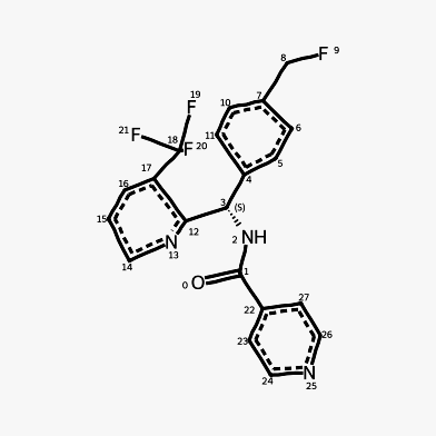 O=C(N[C@@H](c1ccc(CF)cc1)c1ncccc1C(F)(F)F)c1ccncc1